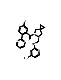 Cc1ccc(-c2ncccn2)c(C(=O)N2CC3(CC3)C[C@H]2CNc2cc(C(F)(F)F)ccn2)c1